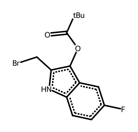 CC(C)(C)C(=O)Oc1c(CBr)[nH]c2ccc(F)cc12